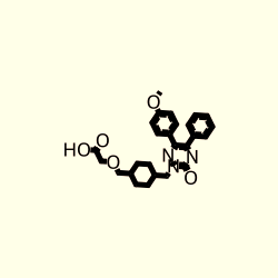 COc1ccc(-c2nn(CC3CCC(COCC(=O)O)CC3)c(=O)nc2-c2ccccc2)cc1